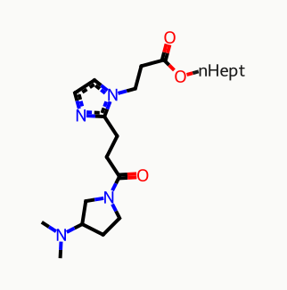 CCCCCCCOC(=O)CCn1ccnc1CCC(=O)N1CCC(N(C)C)C1